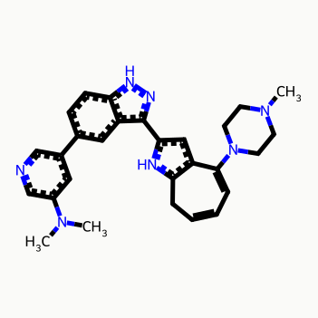 CN1CCN(C2=CC=CCc3[nH]c(-c4n[nH]c5ccc(-c6cncc(N(C)C)c6)cc45)cc32)CC1